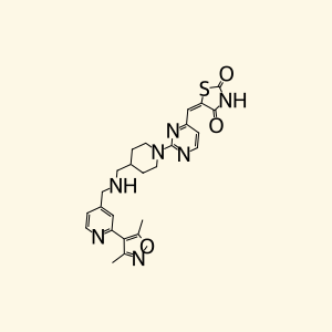 Cc1noc(C)c1-c1cc(CNCC2CCN(c3nccc(C=C4SC(=O)NC4=O)n3)CC2)ccn1